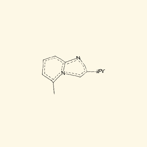 Cc1cccc2nc(C(C)C)cn12